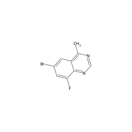 Cc1ncnc2c(F)cc(Br)cc12